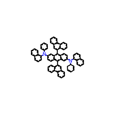 C1=CCC(N(c2ccc3c(-c4cc5ccccc5c5ccccc45)c4cc(N(c5ccccc5)c5cccc6ccccc56)ccc4c(-c4cc5ccccc5c5ccccc45)c3c2)c2cccc3ccccc23)C=C1